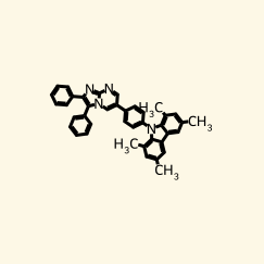 Cc1cc(C)c2c(c1)c1cc(C)cc(C)c1n2-c1ccc(-c2cnc3nc(-c4ccccc4)c(-c4ccccc4)n3c2)cc1